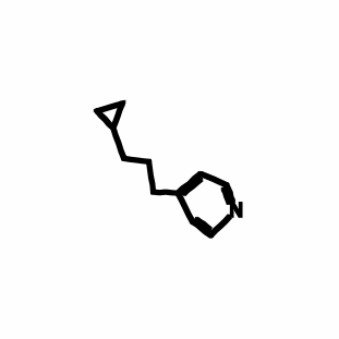 c1cc(CCCC2CC2)ccn1